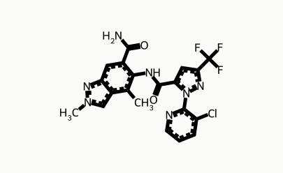 Cc1c(NC(=O)c2cc(C(F)(F)F)nn2-c2ncccc2Cl)c(C(N)=O)cc2nn(C)cc12